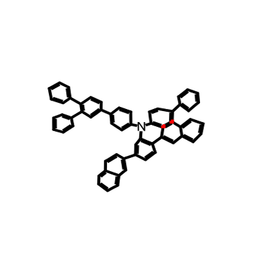 c1ccc(-c2ccc(N(c3ccc(-c4ccc(-c5ccccc5)c(-c5ccccc5)c4)cc3)c3cc(-c4ccc5ccccc5c4)ccc3-c3ccc4ccccc4c3)cc2)cc1